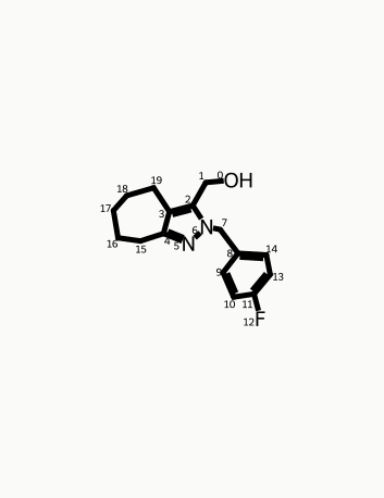 OCc1c2c(nn1Cc1ccc(F)cc1)CCCCC2